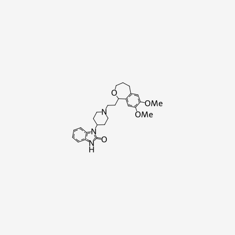 COc1cc2c(cc1OC)C(CCN1CCC(n3c(=O)[nH]c4ccccc43)CC1)OCCC2